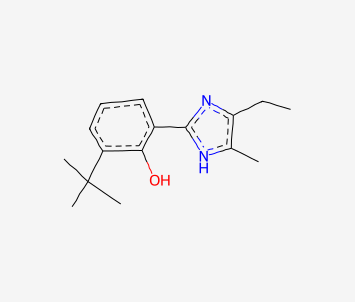 CCc1nc(-c2cccc(C(C)(C)C)c2O)[nH]c1C